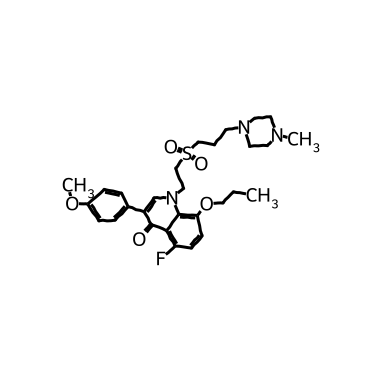 CCCOc1ccc(F)c2c(=O)c(-c3ccc(OC)cc3)cn(CCS(=O)(=O)CCCN3CCN(C)CC3)c12